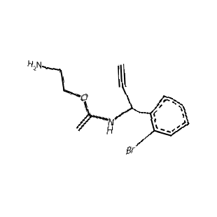 C#CC(NC(=C)OCCN)c1ccccc1Br